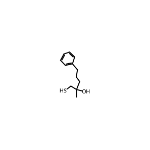 CC(O)(CS)CCCc1ccccc1